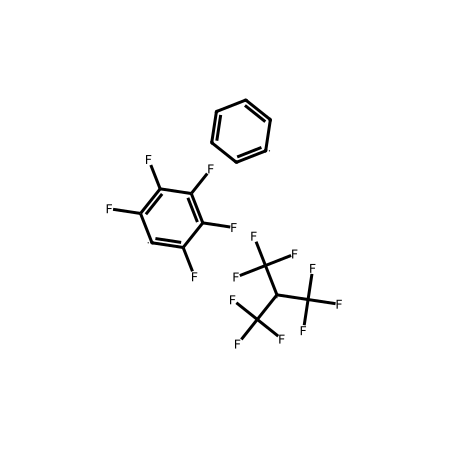 FC(F)(F)[C](C(F)(F)F)C(F)(F)F.Fc1[c]c(F)c(F)c(F)c1F.[c]1ccccc1